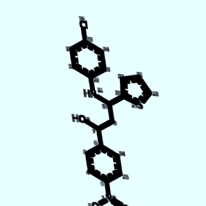 O=[N+]([O-])c1ccc(C(O)CC(Nc2ccc(Cl)cc2)c2cccs2)cc1